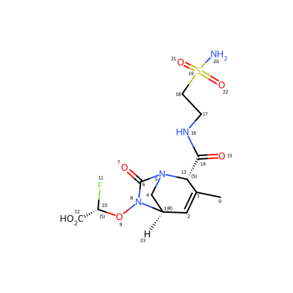 CC1=C[C@@H]2CN(C(=O)N2O[C@@H](F)C(=O)O)[C@@H]1C(=O)NCCS(N)(=O)=O